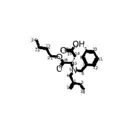 C=C(CI)CN(Cc1ccccc1)[C@@H](CC(=O)O)C(=O)OCCCC